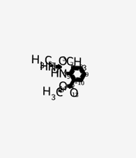 CNC(=O)Nc1c(C)cccc1C(=O)OC